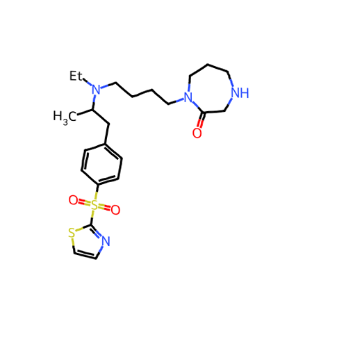 CCN(CCCCN1CCCNCC1=O)C(C)Cc1ccc(S(=O)(=O)c2nccs2)cc1